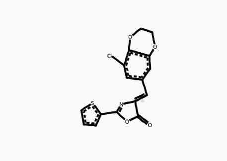 O=C1OC(c2cccs2)=N/C1=C\c1cc(Cl)c2c(c1)OCCO2